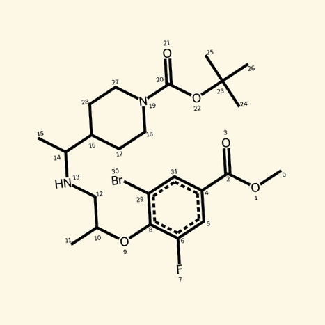 COC(=O)c1cc(F)c(OC(C)CNC(C)C2CCN(C(=O)OC(C)(C)C)CC2)c(Br)c1